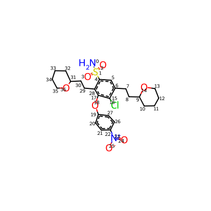 NS(=O)(=O)c1cc(CCC2CCCCO2)c(Cl)c(Oc2ccc([N+](=O)[O-])cc2)c1CCC1CCCCO1